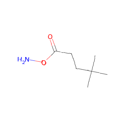 CC(C)(C)CCC(=O)ON